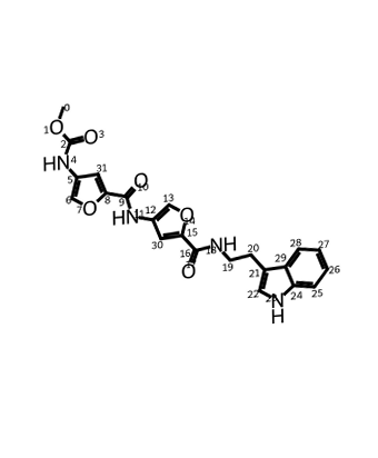 COC(=O)Nc1coc(C(=O)Nc2coc(C(=O)NCCc3c[nH]c4ccccc34)c2)c1